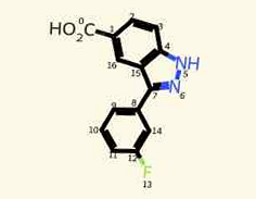 O=C(O)c1ccc2[nH]nc(-c3cccc(F)c3)c2c1